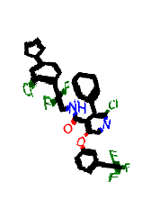 O=C(NCC(F)(F)c1ccc(C2CCCC2)cc1Cl)c1c(Oc2cccc(C(F)(F)F)c2)cnc(Cl)c1-c1ccccc1